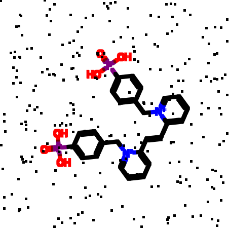 O=P(O)(O)c1ccc(C[n+]2ccccc2C=Cc2cccc[n+]2Cc2ccc(P(=O)(O)O)cc2)cc1